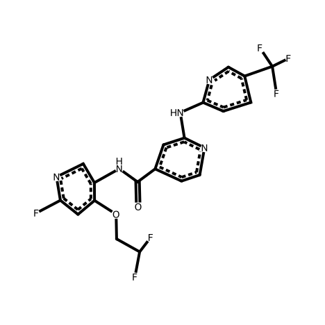 O=C(Nc1cnc(F)cc1OCC(F)F)c1ccnc(Nc2ccc(C(F)(F)F)cn2)c1